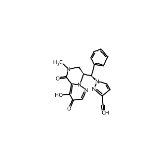 C#Cc1ccn([C@H](c2ccccc2)[C@@H]2CN(C)C(=O)c3c(O)c(=O)cnn32)n1